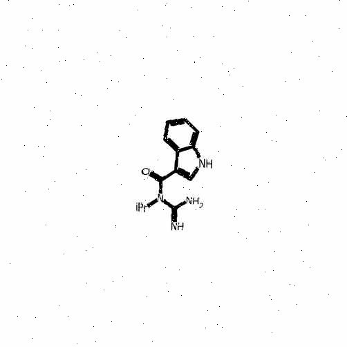 CC(C)N(C(=N)N)C(=O)c1c[nH]c2ccccc12